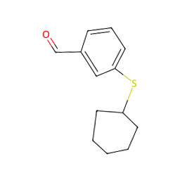 O=Cc1cccc(SC2CCCCC2)c1